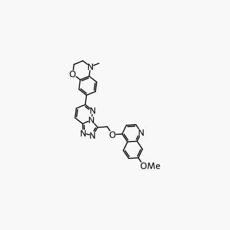 COc1ccc2c(OCc3nnc4ccc(-c5ccc6c(c5)OCCN6C)nn34)ccnc2c1